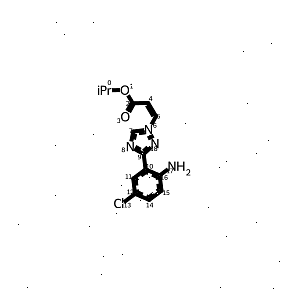 CC(C)OC(=O)/C=C\n1cnc(-c2cc(Cl)ccc2N)n1